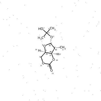 C[C@H]1[C@@H](OC(C)(C)O)O[C@@H]2COC(=O)O[C@H]12